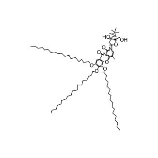 CCCCCCCCCCCCCCCCCCOc1cc(C(=O)n2c(=O)c(C)cn([C@H]3C[C@@](O)([Si](C)(C)C(C)(C)C)[C@@H](CO)O3)c2=O)cc(OCCCCCCCCCCCCCCCCCC)c1OCCCCCCCCCCCCCCCCCC